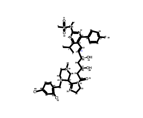 CC(C)c1nc(N(C)S(C)(=O)=O)nc(-c2ccc(F)cc2)c1/C=C/[C@H](O)C[C@@H](O)CC(=O)N1CCN=C1C1CN(C)CCN1Cc1ccc(Cl)cc1Cl